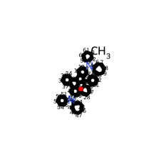 CC1C=C(N(C2=CC=CCC=C2)c2ccc3c(c2)C(c2ccccc2)(C2C=CC=CC2)c2c-3c3ccccc3c3cc(N(C4=CC=CCC=C4)c4ccccc4)ccc23)C=CC1